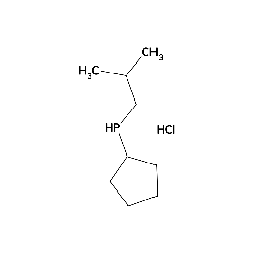 CC(C)CPC1CCCC1.Cl